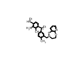 CCNc1ccc([C@@H](CC)c2ccc(C)c(CN3CCOc4ncccc4S3)c2)c(C)c1N